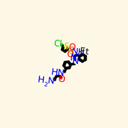 CCc1cccc2c1c(NS(=O)(=O)c1ccc(Cl)s1)nn2Cc1cccc(CNC(=O)CCN)c1